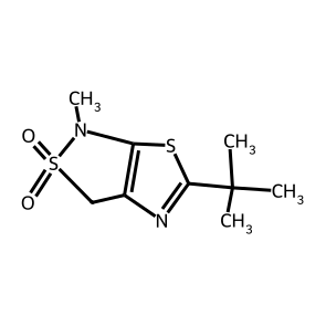 CN1c2sc(C(C)(C)C)nc2CS1(=O)=O